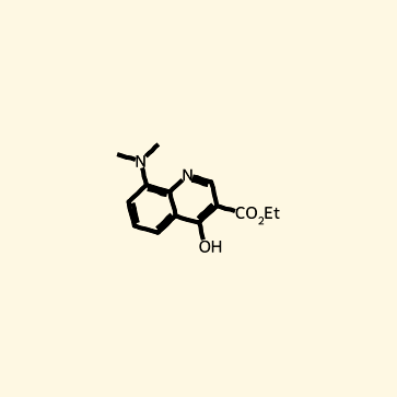 CCOC(=O)c1cnc2c(N(C)C)cccc2c1O